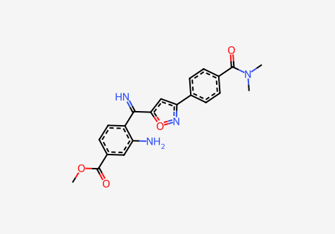 COC(=O)c1ccc(C(=N)c2cc(-c3ccc(C(=O)N(C)C)cc3)no2)c(N)c1